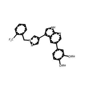 COc1ccc(-c2cnc3[nH]cc(-c4cnn(Cc5ccccc5C(F)(F)F)c4)c3c2)cc1OC